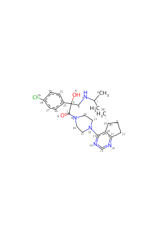 CC(C)NCC(O)(C(=O)N1CCN(c2ncnc3c2[C@H](C)CC3)CC1)c1ccc(Cl)cc1